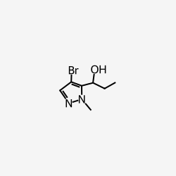 CCC(O)c1c(Br)cnn1C